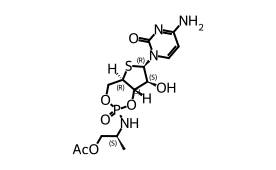 CC(=O)OC[C@H](C)NP1(=O)OC[C@H]2S[C@@H](n3ccc(N)nc3=O)[C@@H](O)[C@@H]2O1